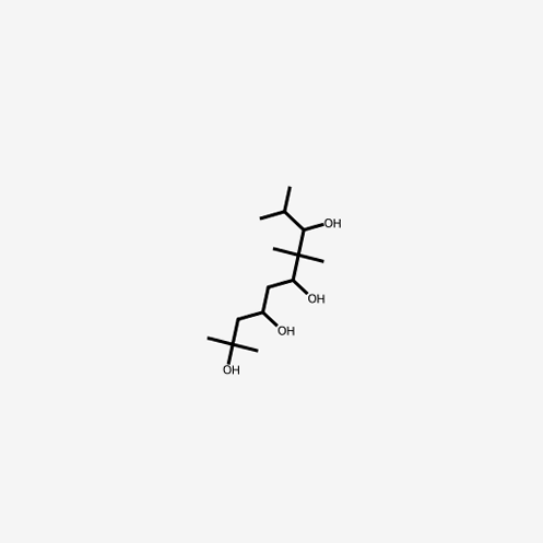 CC(C)C(O)C(C)(C)C(O)CC(O)CC(C)(C)O